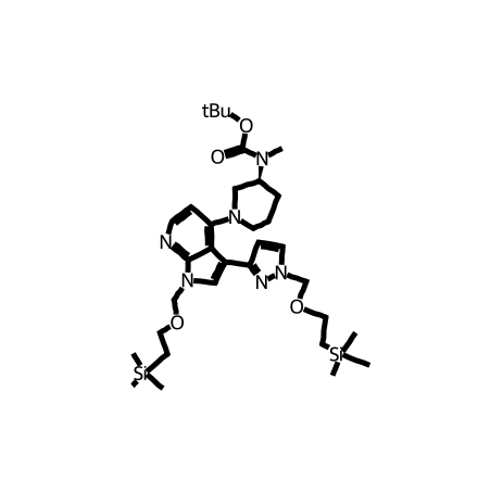 CN(C(=O)OC(C)(C)C)[C@H]1CCCN(c2ccnc3c2c(-c2ccn(COCC[Si](C)(C)C)n2)cn3COCC[Si](C)(C)C)C1